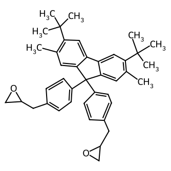 Cc1cc2c(cc1C(C)(C)C)-c1cc(C(C)(C)C)c(C)cc1C2(c1ccc(CC2CO2)cc1)c1ccc(CC2CO2)cc1